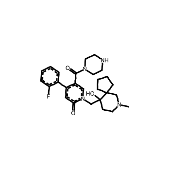 CN1CCC(O)(Cn2cc(C(=O)N3CCNCC3)c(-c3ccccc3F)cc2=O)C2(CCCC2)C1